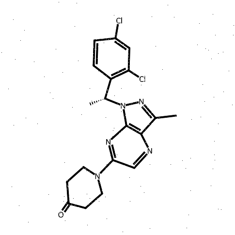 Cc1nn([C@H](C)c2ccc(Cl)cc2Cl)c2nc(N3CCC(=O)CC3)cnc12